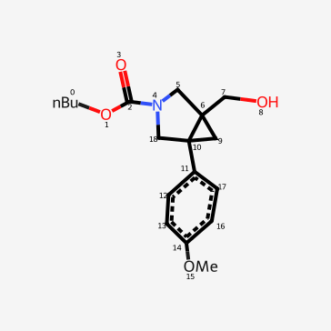 CCCCOC(=O)N1CC2(CO)CC2(c2ccc(OC)cc2)C1